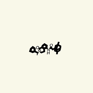 C[C@@H](c1ccccc1)N1CCc2c(NC(=O)CC34CC5CC(C)(CC(C)(C5)C3)C4)cccc2C1=O